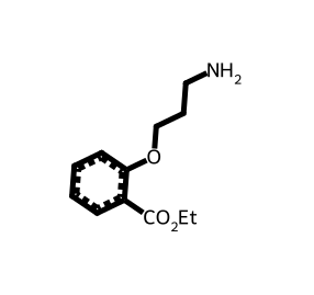 CCOC(=O)c1ccccc1OCCCN